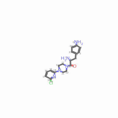 Nc1ccc(CC(N)C(=O)N2CCN(c3cccc(Cl)n3)CC2)cc1